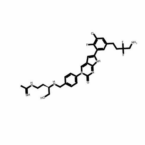 CC(=N)NCC[C@H](CO)NCc1ccc(-n2cc3cc(-c4cc(CCC(F)(F)CN)cc(Cl)c4F)[nH]c3nc2=O)cc1